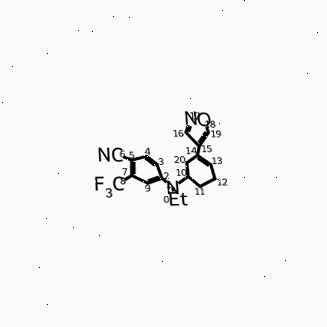 CCN(c1ccc(C#N)c(C(F)(F)F)c1)C1CCC=C(c2cnoc2)C1